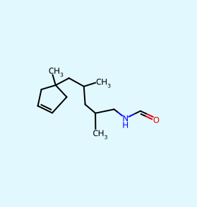 CC(CNC=O)CC(C)CC1(C)CC=CC1